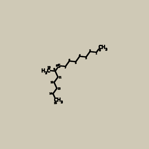 CCCCCCCCSC(C)CCCCC